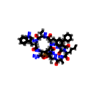 CCCC[C@@H](C(=O)N[C@@H](C)C(=O)N[C@H](C)C(=O)N[C@@H]1C(=O)N[C@H](Cc2ccccc2)C(=O)N[C@@H](CC)C(=O)N[C@@H](Cc2c[nH]c3ccccc23)C(=O)NC(C(N)=O)C1(S)/C=N\C)N1C(=O)N[C@@H](CC2CCCCC2)C1=O